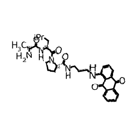 CC(C)C[C@H](NC(=O)[C@H](C)N)C(=O)N1CCC[C@H]1C(=O)NCCCNc1cccc2c1C(=O)c1ccccc1C2=O